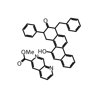 COC(=O)c1cc2cccnc2cn1.O=C1C(c2ccccc2)Cc2c(ccc3c2c(O)cc2ccccc23)C1Cc1ccccc1